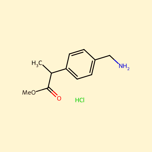 COC(=O)C(C)c1ccc(CN)cc1.Cl